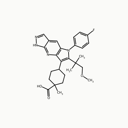 COCC(C)(C)c1c(C2CCC(C)(C(=O)O)CC2)c2nc3[nH]ncc3cc2n1-c1ccc(F)cc1